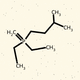 C=P(CC)(CC)CCC(C)C